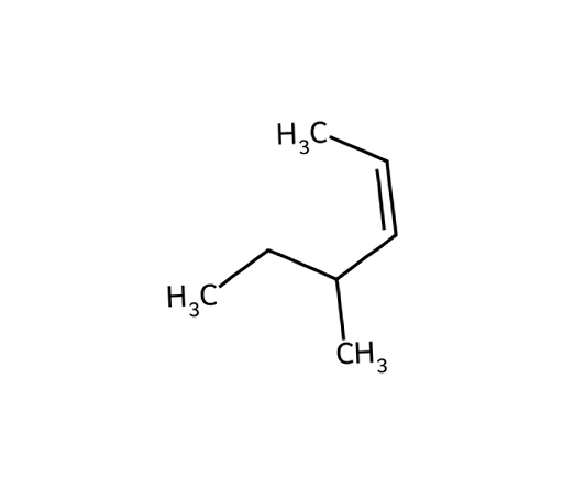 C/C=C\C(C)CC